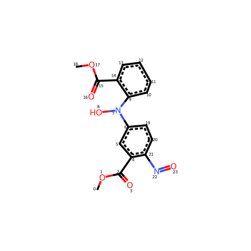 COC(=O)c1cc(N(O)c2ccccc2C(=O)OC)ccc1N=O